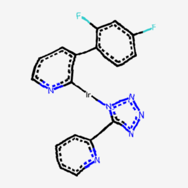 Fc1ccc(-c2cccn[c]2[Ir][n]2nnnc2-c2ccccn2)c(F)c1